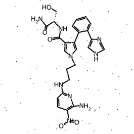 NC(=O)[C@H](CO)NC(=O)c1cn(CCCNc2ccc([N+](=O)[O-])c(N)n2)cc1-c1ccccc1-c1c[nH]cn1